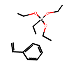 C=Cc1ccccc1.CCO[Si](CC)(OCC)OCC